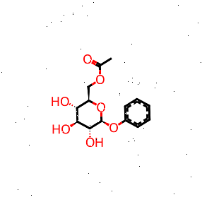 CC(=O)OC[C@H]1O[C@@H](Oc2ccccc2)[C@H](O)[C@@H](O)[C@@H]1O